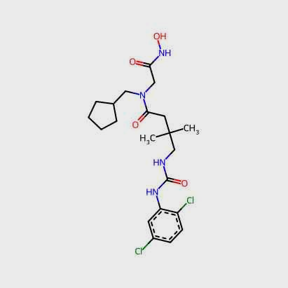 CC(C)(CNC(=O)Nc1cc(Cl)ccc1Cl)CC(=O)N(CC(=O)NO)CC1CCCC1